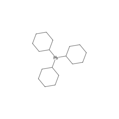 C1CC[CH]([Pb]([CH]2CCCCC2)[CH]2CCCCC2)CC1